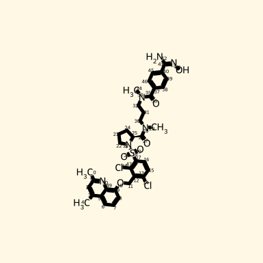 Cc1cc(C)c2cccc(OCc3c(Cl)ccc(S(=O)(=O)N4CCC[C@H]4C(=O)N(C)CCCN(C)C(=O)c4ccc(/C(N)=N\O)cc4)c3Cl)c2n1